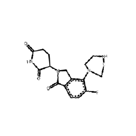 O=C1CCC(N2Cc3c(ccc(F)c3N3CCNCC3)C2=O)C(=O)N1